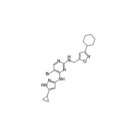 Brc1cnc(NCc2cc(C3CCCCC3)no2)nc1Nc1cc(C2CC2)[nH]n1